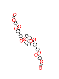 CC1(COc2ccc(C(=O)Oc3ccc(-c4ccc(C(=O)Oc5ccc6ccccc6c5-c5c(OC(=O)c6ccc(-c7ccc(OC(=O)c8ccc(OCC9(C)COC9)cc8)cc7)cc6)ccc6ccccc56)cc4)cc3)cc2)COC1